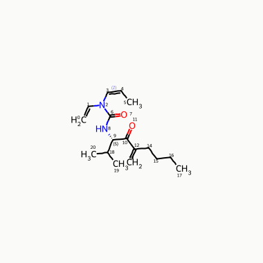 C=CN(/C=C\C)C(=O)N[C@H](C(=O)C(=C)CCCC)C(C)C